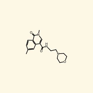 Cc1ccc2c(=O)n(C)cc(C(=O)NCCN3CCOCC3)c2c1